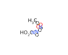 Cc1ccc(S(=O)(=O)n2ccc3ccc(N4CCN(C(=O)O)Cc5ccccc54)cc32)cc1